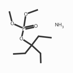 CCC(CC)(CC)OP(=O)(OC)OC.N